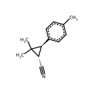 Cc1ccc([C@H]2[C@H](C#N)C2(C)C)cc1